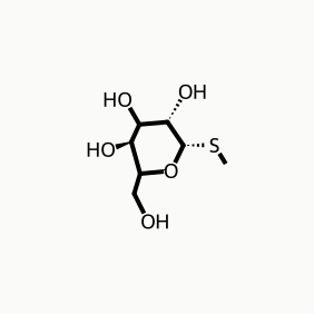 CS[C@@H]1OC(CO)[C@@H](O)C(O)[C@@H]1O